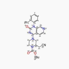 CC(C)c1ccccc1-n1c(=O)nc(N2CCN(C(=O)OC(C)(C)C)C(CC#N)C2)c2ccncc21